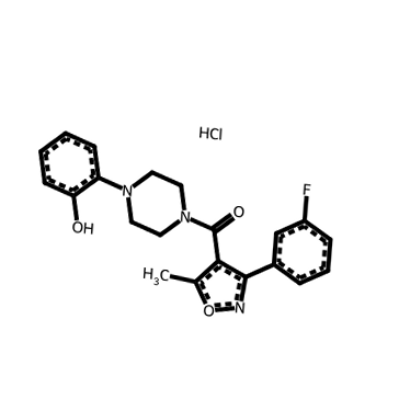 Cc1onc(-c2cccc(F)c2)c1C(=O)N1CCN(c2ccccc2O)CC1.Cl